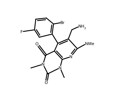 CNc1nc2c(c(-c3cc(F)ccc3Br)c1CN)c(=O)n(C)c(=O)n2C